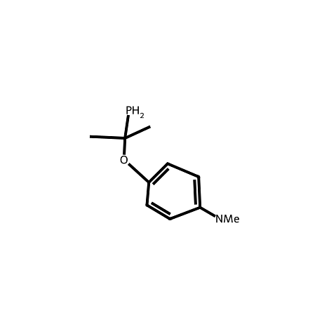 CNc1ccc(OC(C)(C)P)cc1